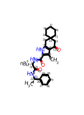 CCCC[C@H](NC(=O)c1[nH]c2c(c1C)C(=O)CC1(CCCCC1)C2)C(=O)N[C@@H](C)c1ccccc1